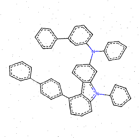 c1ccc(-c2ccc(-c3cccc4c3c3ccc(N(c5ccccc5)c5cccc(-c6ccccc6)c5)cc3n4-c3ccccc3)cc2)cc1